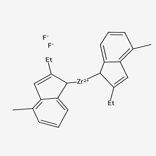 CCC1=Cc2c(C)cccc2[CH]1[Zr+2][CH]1C(CC)=Cc2c(C)cccc21.[F-].[F-]